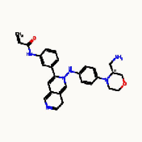 C=CC(=O)Nc1cccc(C2=CC3=CN=CCC3=CN2Nc2ccc(N3CCOC[C@@H]3CN)cc2)c1